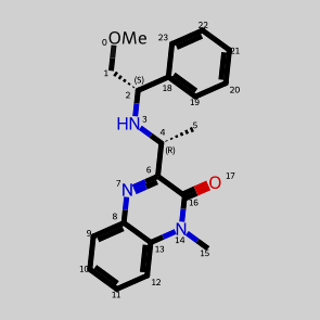 COC[C@@H](N[C@H](C)c1nc2ccccc2n(C)c1=O)c1ccccc1